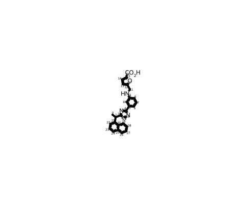 CC(c1nc(-c2cccc(NCc3ccc(C(=O)O)o3)c2)no1)c1cccc2ccccc12